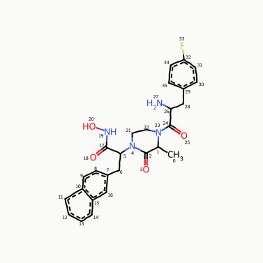 CC1C(=O)N(C(Cc2ccc3ccccc3c2)C(=O)NO)CCN1C(=O)C(N)Cc1ccc(F)cc1